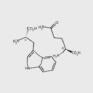 NC(=O)CC[C@H](N)C(=O)O.N[C@@H](Cc1c[nH]c2ccccc12)C(=O)O